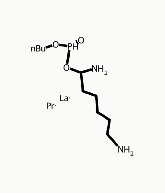 CCCCO[PH](=O)OC(N)CCCCCN.[La].[Pr]